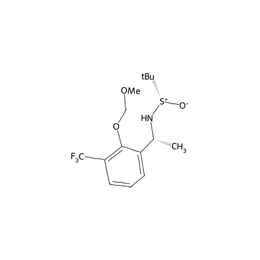 COCOc1c([C@@H](C)N[S@@+]([O-])C(C)(C)C)cccc1C(F)(F)F